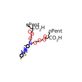 CCCCC/C=C/CC(CC(=O)OCCOCCOCCN(CCOCCOC(=O)CC(C/C=C/CCCCC)C(=O)O)c1ccc(/N=N/c2nc3ccc(C)cc3s2)c(C)c1)C(=O)O